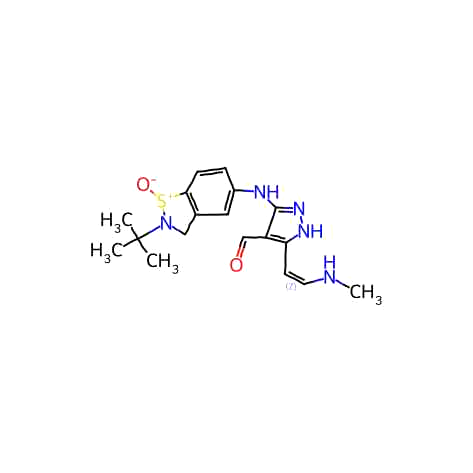 CN/C=C\c1[nH]nc(Nc2ccc3c(c2)CN(C(C)(C)C)[S+]3[O-])c1C=O